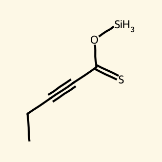 CCC#CC(=S)O[SiH3]